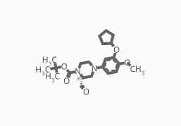 COc1ccc(N2CCN(C(=O)OC(C)(C)C)[C@@H](C=O)C2)cc1OC1CCCC1